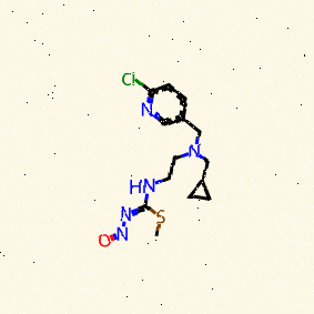 CS/C(=N\N=O)NCCN(Cc1ccc(Cl)nc1)CC1CC1